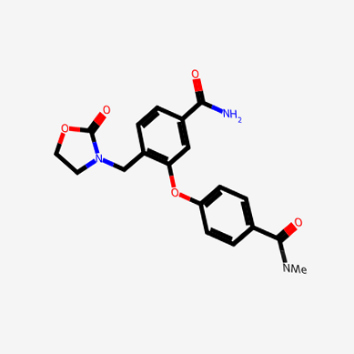 CNC(=O)c1ccc(Oc2cc(C(N)=O)ccc2CN2CCOC2=O)cc1